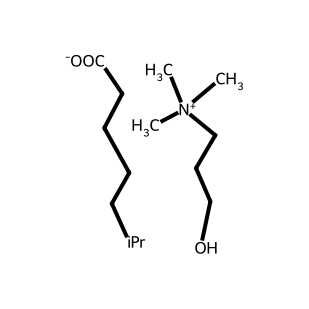 CC(C)CCCCC(=O)[O-].C[N+](C)(C)CCCO